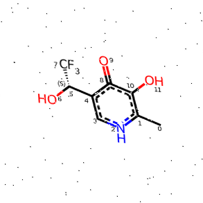 Cc1[nH]cc([C@H](O)C(F)(F)F)c(=O)c1O